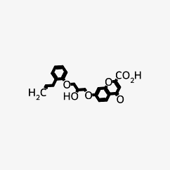 C=CCc1ccccc1OCC(O)COc1ccc2c(=O)cc(C(=O)O)oc2c1